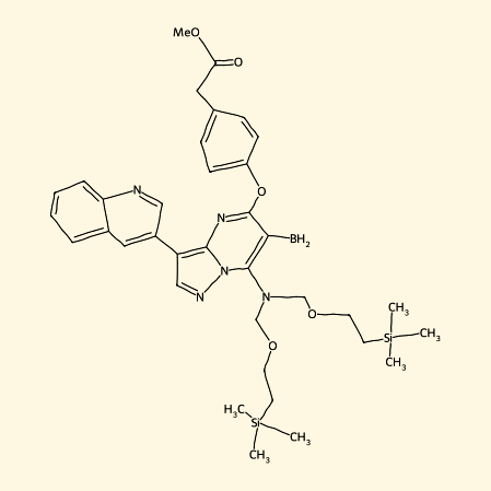 Bc1c(Oc2ccc(CC(=O)OC)cc2)nc2c(-c3cnc4ccccc4c3)cnn2c1N(COCC[Si](C)(C)C)COCC[Si](C)(C)C